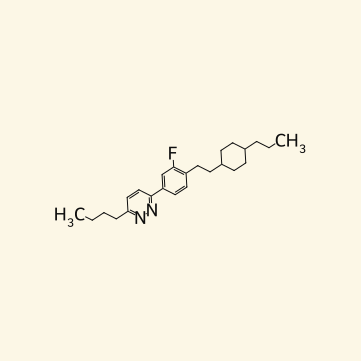 CCCCc1ccc(-c2ccc(CCC3CCC(CCC)CC3)c(F)c2)nn1